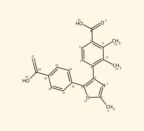 Cc1nc(-c2ccc(C(=O)O)c(C)c2C)c(-c2ccc(C(=O)O)cc2)o1